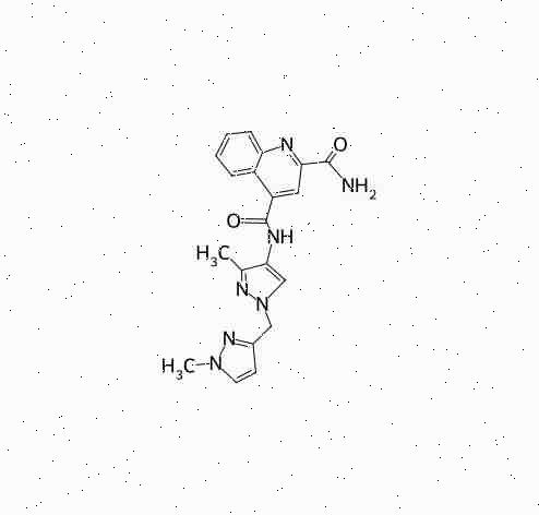 Cc1nn(Cc2ccn(C)n2)cc1NC(=O)c1cc(C(N)=O)nc2ccccc12